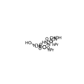 CCCOc1ccc(S(=O)(=O)N2CCN(CCO)CC2)cc1-c1nc2c(CCC)c(/C=N/O)n(C)c2c(=O)[nH]1